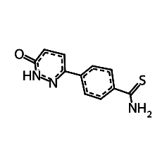 NC(=S)c1ccc(-c2ccc(=O)[nH]n2)cc1